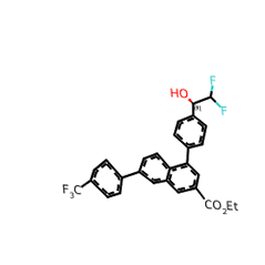 CCOC(=O)c1cc(-c2ccc([C@@H](O)C(F)F)cc2)c2ccc(-c3ccc(C(F)(F)F)cc3)cc2c1